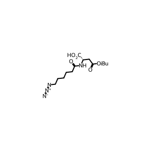 CC(C)COC(=O)C[C@H](NC(=O)CCCCCN=[N+]=[N-])C(=O)O